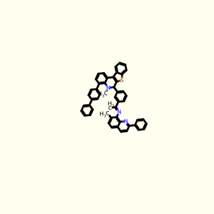 C/C(=N\c1c(C)ccc2ccc(-c3ccccc3)nc12)c1cccc(C2c3sc4ccccc4c3-c3cccc(-c4ccc(-c5ccccc5)cc4)c3N2C)c1